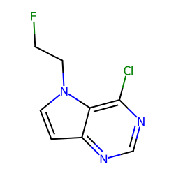 FCCn1ccc2ncnc(Cl)c21